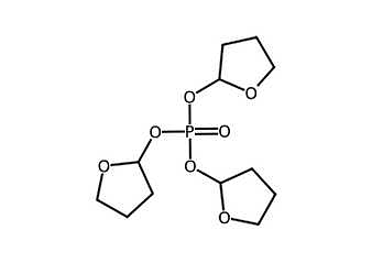 O=P(OC1CCCO1)(OC1CCCO1)OC1CCCO1